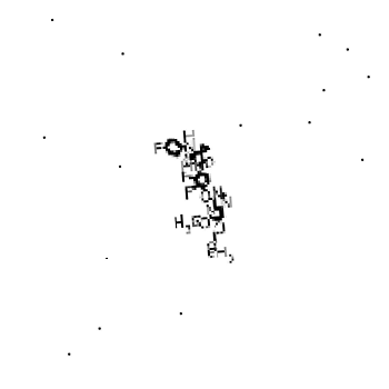 COCCOc1cc2ncnc(Oc3ccc(NC(=O)C4(C(=O)Nc5ccc(F)cc5)CC4)c(F)c3F)c2nc1OC